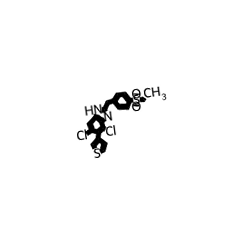 CCS(=O)(=O)c1ccc(Cc2nc3c(Cl)c(-c4ccsc4)c(Cl)cc3[nH]2)cc1